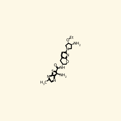 CCO[C@H]1CN(c2ccc3c(n2)OC[C@H](NC(=O)c2sc4nc(C)cnc4c2N)C3)C[C@@H]1N